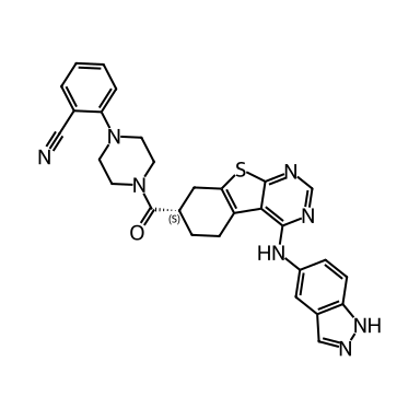 N#Cc1ccccc1N1CCN(C(=O)[C@H]2CCc3c(sc4ncnc(Nc5ccc6[nH]ncc6c5)c34)C2)CC1